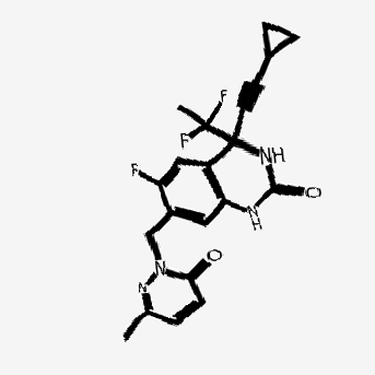 Cc1ccc(=O)n(Cc2cc3c(cc2F)C(C#CC2CC2)(C(C)(F)F)NC(=O)N3)n1